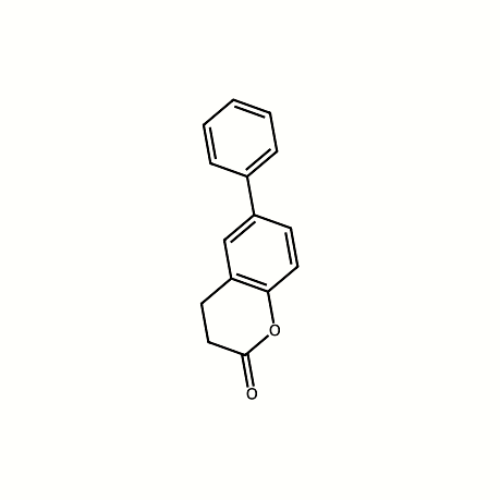 O=C1CCc2cc(-c3ccccc3)ccc2O1